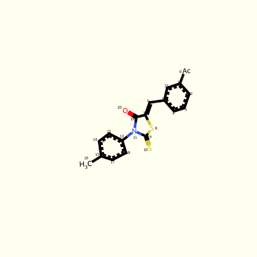 CC(=O)c1cccc(/C=C2\SC(=S)N(c3ccc(C)cc3)C2=O)c1